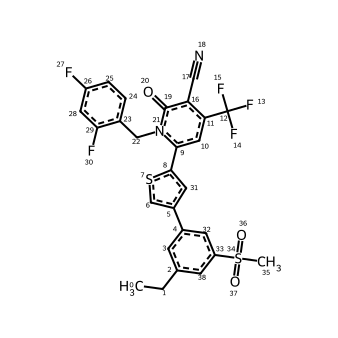 CCc1cc(-c2csc(-c3cc(C(F)(F)F)c(C#N)c(=O)n3Cc3ccc(F)cc3F)c2)cc(S(C)(=O)=O)c1